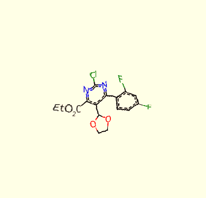 CCOC(=O)c1nc(Cl)nc(-c2ccc(F)cc2F)c1C1OCCO1